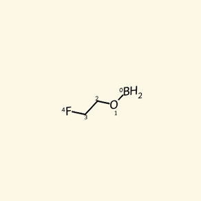 BOCCF